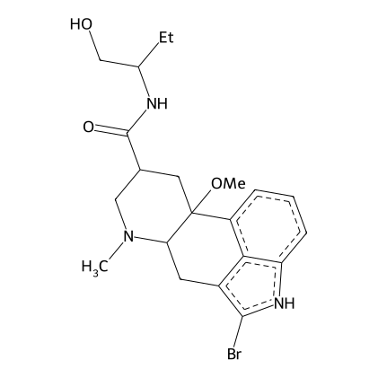 CCC(CO)NC(=O)C1CN(C)C2Cc3c(Br)[nH]c4cccc(c34)C2(OC)C1